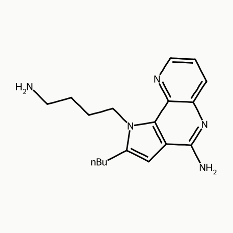 CCCCc1cc2c(N)nc3cccnc3c2n1CCCCN